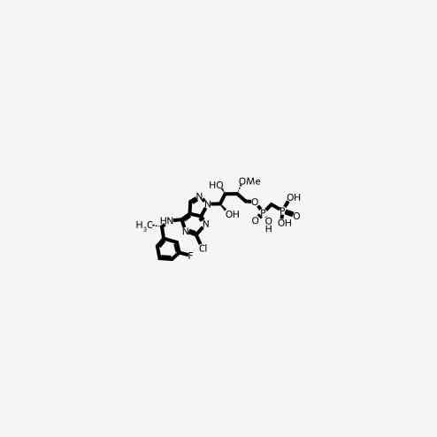 CO[C@H](COP(=O)(O)CP(=O)(O)O)[C@@H](O)[C@@H](O)n1ncc2c(N[C@@H](C)c3cccc(F)c3)nc(Cl)nc21